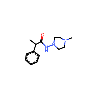 CC(C(=O)NN1CCN(C)CC1)c1ccccc1